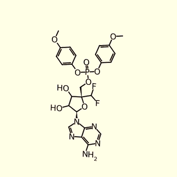 COc1ccc(OP(=O)(OC[C@@]2(C(F)F)O[C@@H](n3cnc4c(N)ncnc43)C(O)C2O)Oc2ccc(OC)cc2)cc1